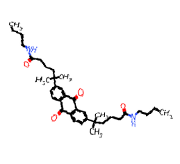 CCCCNC(=O)CCCC(C)(C)c1ccc2c(c1)C(=O)c1cc(C(C)(C)CCCC(=O)NCCCC)ccc1C2=O